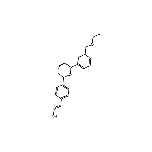 CCOCC1C=CC=C(C2COCC(c3ccc(C=NO)cc3)O2)C1